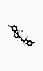 CCN1C(=CC=C2CCn3c2[n+](CC)c2ccc(Cl)cc23)Oc2ccc(C)cc21.[I-]